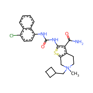 C[N+]1(CC2CCC2)CCc2c(sc(NC(=O)Nc3ccc(Cl)c4ccccc34)c2C(N)=O)C1